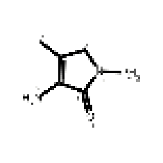 CC1=C(N)C(=O)N(P)C1